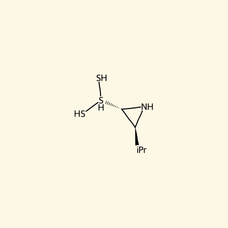 CC(C)[C@@H]1N[C@H]1[SH](S)S